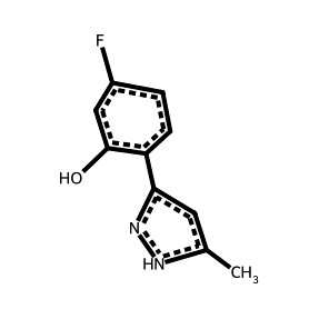 Cc1cc(-c2ccc(F)cc2O)n[nH]1